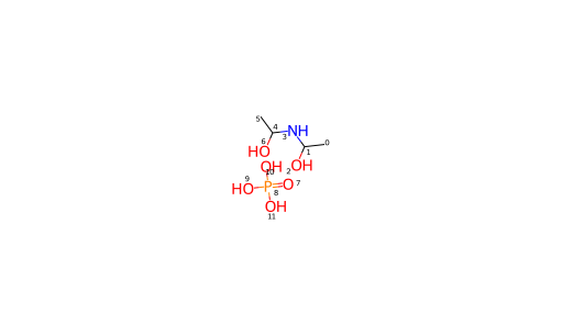 CC(O)NC(C)O.O=P(O)(O)O